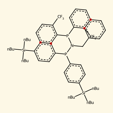 CCCC[Si](CCCC)(CCCC)c1ccc(P(c2ccc([Si](CCCC)(CCCC)CCCC)cc2)N(Cc2ccccc2)P(c2ccccc2C(F)(F)F)c2ccccc2C(F)(F)F)cc1